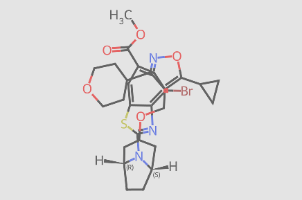 COC(=O)c1cc(Br)c2nc(N3[C@@H]4CC[C@H]3CC(OCc3c(C5CCOCC5)noc3C3CC3)C4)sc2c1